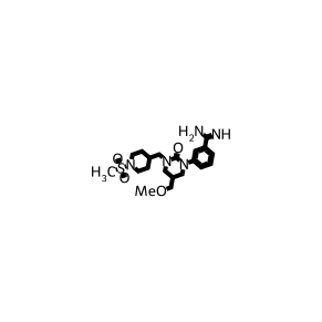 COCC1CN(CC2CCN(S(C)(=O)=O)CC2)C(=O)N(c2cccc(C(=N)N)c2)C1